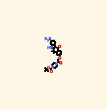 CC(C)(C)OC(=O)N1CCN(C(=O)COc2ccc3c(c2)C(C)(C)c2[nH]c4cc(N)ccc4c2C3=O)CC1